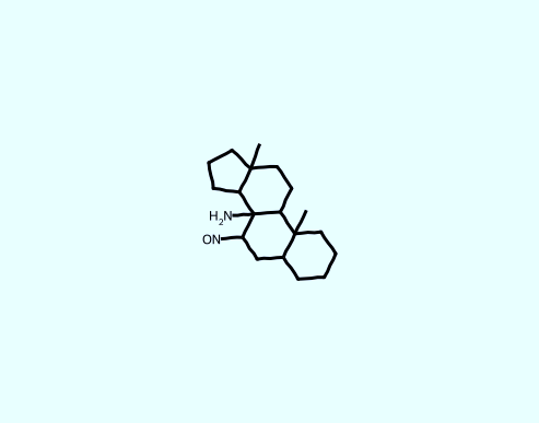 CC12CCCC1C1(N)C(N=O)CC3CCCCC3(C)C1CC2